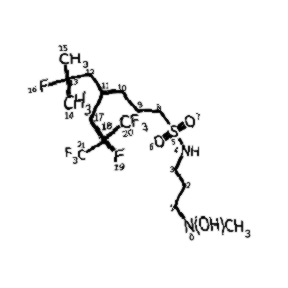 CN(O)CCCNS(=O)(=O)CCCC(CC(C)(C)F)CC(F)(C(F)(F)F)C(F)(F)F